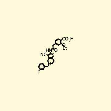 CCOc1cc(CC(=O)Nc2sc3c(c2C#N)CN(Cc2cccc(F)c2)CC3)ccc1C(=O)O